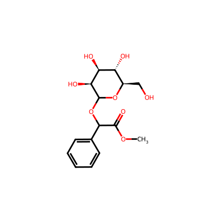 COC(=O)C(OC1O[C@H](CO)[C@@H](O)[C@H](O)[C@@H]1O)c1ccccc1